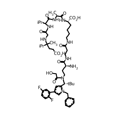 CC(C)C(NC(=O)CNC(C)(CCC(=O)O)C(C)C)C(=O)N[C@@H](C)C(=O)N[C@@H](CCCCNC(=O)CCNC(=O)[C@@H](N)CCN(C(=O)CO)[C@@H](c1cc(-c2cc(F)ccc2F)cn1Cc1ccccc1)C(C)(C)C)C(=O)O